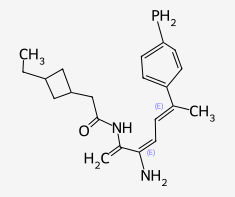 C=C(NC(=O)CC1CC(CC)C1)/C(N)=C\C=C(/C)c1ccc(P)cc1